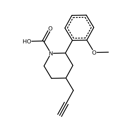 C#CCC1CCN(C(=O)O)C(c2ccccc2OC)C1